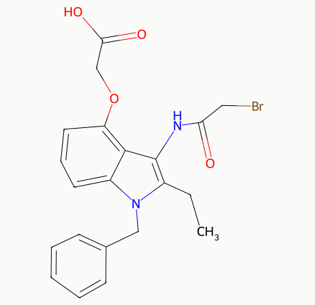 CCc1c(NC(=O)CBr)c2c(OCC(=O)O)cccc2n1Cc1ccccc1